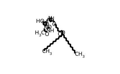 CCCCCCCCCCCCCC1(CCCCCCCCCCCCC)OCC(CCCCOCc2cn(C[C@H]3O[C@@H](n4cc(C)c(=O)[nH]c4=O)C[C@H]3O)nn2)O1